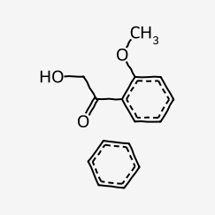 COc1ccccc1C(=O)CO.c1ccccc1